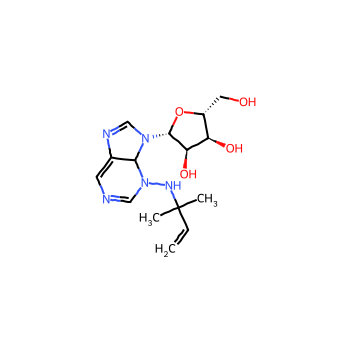 C=CC(C)(C)NN1C=NC=C2N=CN([C@@H]3O[C@H](CO)[C@@H](O)[C@H]3O)C21